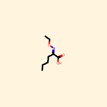 CCCC/C(=N\OCC)C(=O)O